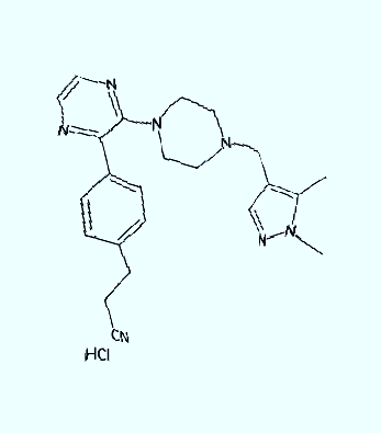 Cc1c(CN2CCN(c3nccnc3-c3ccc(CCC#N)cc3)CC2)cnn1C.Cl